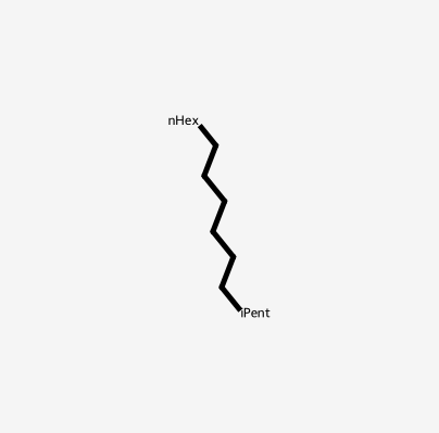 C[CH]CC(C)CCCCCCCCCCCC